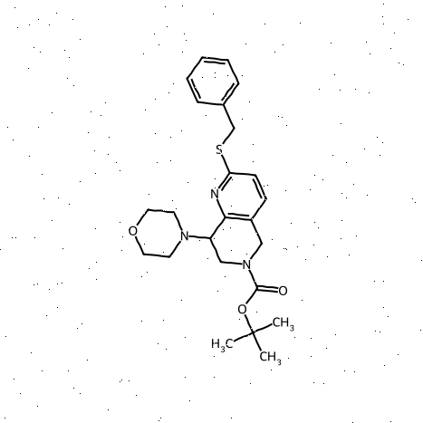 CC(C)(C)OC(=O)N1Cc2ccc(SCc3ccccc3)nc2C(N2CCOCC2)C1